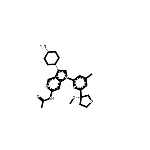 CO[C@@]1(c2cc(C)cc(-n3cc([C@H]4CC[C@@H](N)CC4)c4cnc(NC(C)=O)cc43)n2)CCOC1